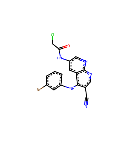 N#Cc1cnc2ncc(NC(=O)CCl)cc2c1Nc1cccc(Br)c1